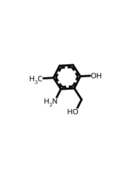 Cc1ccc(O)c(CO)c1N